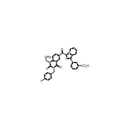 COCn1c(=O)n(Cc2ccc(F)cc2)c(=O)c2cc(C(=O)c3nc(-c4cccc(C(=O)O)c4)c4ccccn34)ccc21